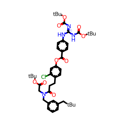 CC(C)(C)Cc1cccc(CN(CC(=O)OC(C)(C)C)C(=O)CCc2ccc(OC(=O)c3ccc(N/C(=N\C(=O)OC(C)(C)C)NC(=O)OC(C)(C)C)cc3)cc2Cl)c1